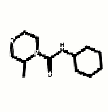 CC1COCCN1C(=O)NC1CCCCC1